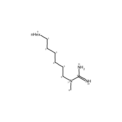 CCCCCCCCCCCCN(C)C(=N)N